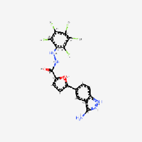 Nc1n[nH]c2ccc(-c3ccc(C(=O)NNc4c(F)c(F)c(F)c(F)c4F)o3)cc12